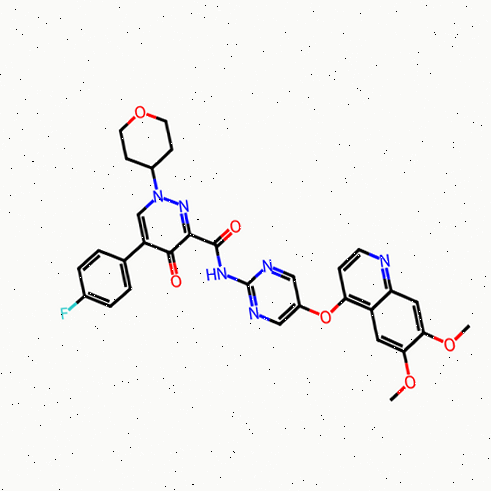 COc1cc2nccc(Oc3cnc(NC(=O)c4nn(C5CCOCC5)cc(-c5ccc(F)cc5)c4=O)nc3)c2cc1OC